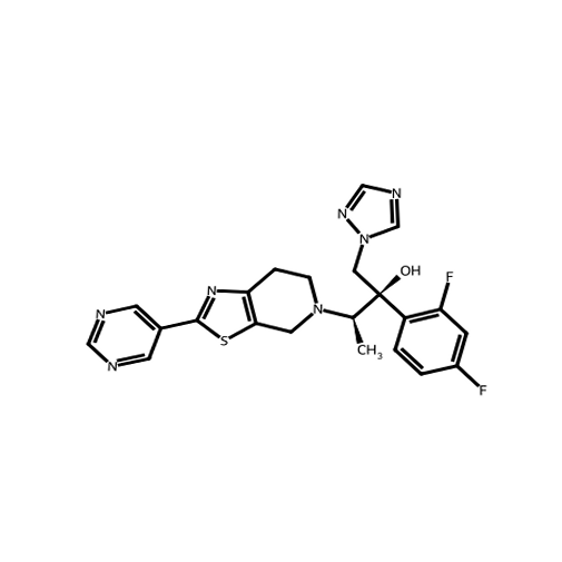 C[C@@H](N1CCc2nc(-c3cncnc3)sc2C1)[C@](O)(Cn1cncn1)c1ccc(F)cc1F